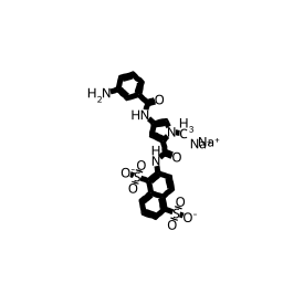 Cn1cc(NC(=O)c2cccc(N)c2)cc1C(=O)Nc1ccc2c(S(=O)(=O)[O-])cccc2c1S(=O)(=O)[O-].[Na+].[Na+]